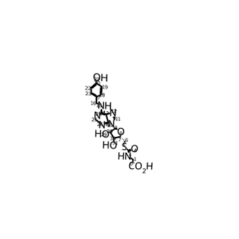 O=C(O)CNC(=O)SC[C@H]1O[C@@H](n2cnc3c(NCc4ccc(O)cc4)ncnc32)C(O)C1O